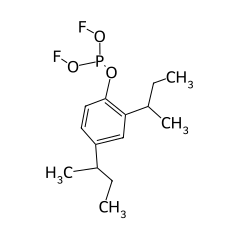 CCC(C)c1ccc(OP(OF)OF)c(C(C)CC)c1